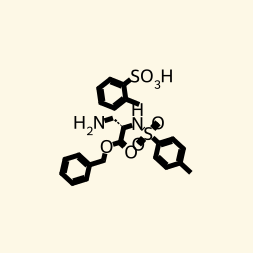 Cc1ccc(S(=O)(=O)N[C@@H](CN)C(=O)OCc2ccccc2)cc1.Cc1ccccc1S(=O)(=O)O